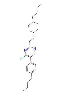 CCCCc1ccc(-c2cnc(CC[C@H]3CC[C@H](CCCC)CC3)nc2F)cc1